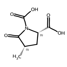 C[C@H]1C[C@@H](C(=O)O)N(C(=O)O)C1=O